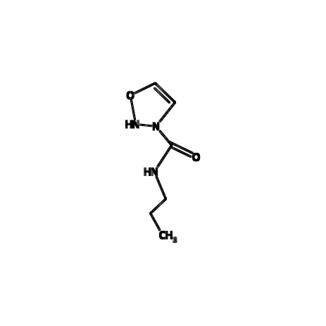 CCCNC(=O)N1C=CON1